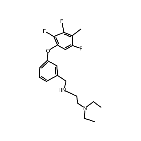 CCN(CC)CCNCc1cccc(Oc2cc(F)c(C)c(F)c2F)c1